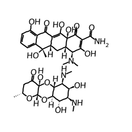 CN(C)[C@@H]1C(O)=C(C(N)=O)C(=O)[C@@]2(O)C(O)=C3C(=O)c4c(O)cccc4[C@@](C)(O)[C@H]3C[C@@H]12.CN[C@@H]1[C@H](O)[C@H](NC)[C@H]2O[C@@]3(O)C(=O)C[C@@H](C)O[C@H]3O[C@@H]2[C@H]1O